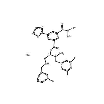 CCCN(CCC)C(=O)c1cc(C(=O)O[C@H](CNCc2cccc(CC)c2)[C@@H](N)Cc2cc(F)cc(F)c2)cc(-c2ncco2)c1.Cl